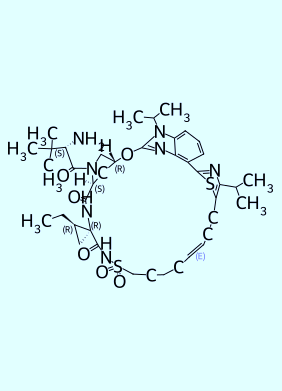 CC[C@@H]1C[C@@]12NC(=O)[C@@H]1C[C@H](CN1C(=O)[C@@H](N)C(C)(C)C)Oc1nc3c(cccc3n1C(C)C)-c1nc(C(C)C)c(s1)CC/C=C/CCCCS(=O)(=O)NC2=O